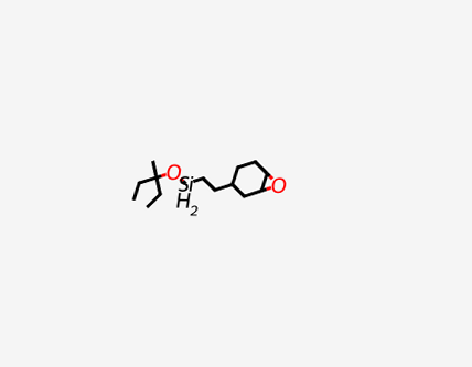 CCC(C)(CC)O[SiH2]CCC1CCC2OC2C1